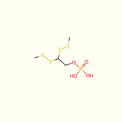 CSSC(COP(=O)(O)O)SSC